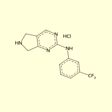 Cl.FC(F)(F)c1cccc(Nc2ncc3c(n2)CNC3)c1